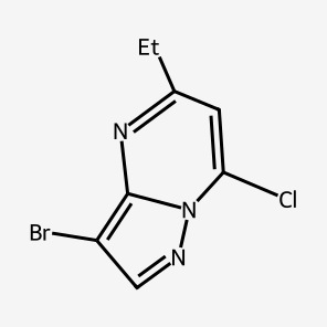 CCc1cc(Cl)n2ncc(Br)c2n1